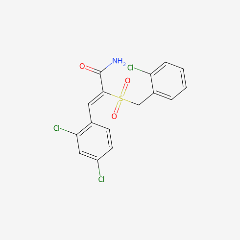 NC(=O)C(=Cc1ccc(Cl)cc1Cl)S(=O)(=O)Cc1ccccc1Cl